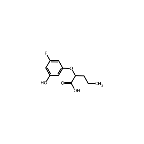 CCCC(Oc1cc(O)cc(F)c1)C(=O)O